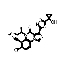 COCC(C)n1c(=O)c2c(-c3noc(C4(O)CC4)n3)ncn2c2ccc(Cl)c(C#N)c21